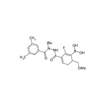 COCC1CC=C(C(=O)NN(C(=O)c2cc(C)cc(C)c2)C(C)(C)C)C(F)=C1B(O)O